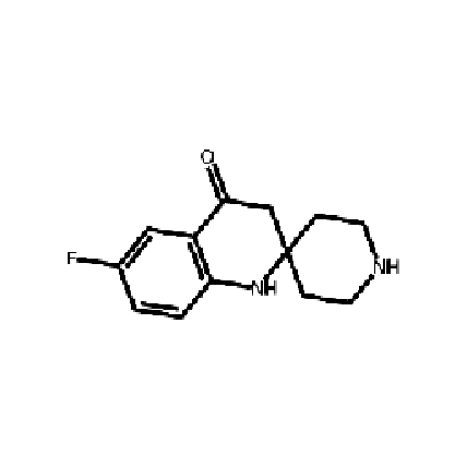 O=C1CC2(CCNCC2)Nc2ccc(F)cc21